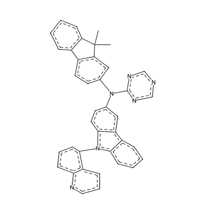 CC1(C)c2ccccc2-c2ccc(N(c3ccc4c(c3)c3ccccc3n4-c3cccc4ncccc34)c3ncncn3)cc21